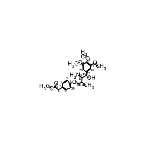 COC(=O)Cc1ccc(OCC(C)C(N)C(O)c2cc(OC)c(OC)c(OC)c2)cc1